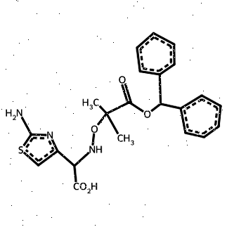 CC(C)(ONC(C(=O)O)c1csc(N)n1)C(=O)OC(c1ccccc1)c1ccccc1